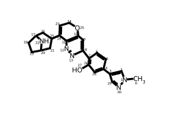 Cn1cc(-c2ccc(-c3cc4c(nn3)C(C3CC5CCC(C3)N5)=CCO4)c(O)c2)cn1